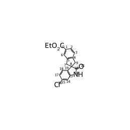 CCOC(=O)c1ccc2c(c1)CC1(C2)C(=O)Nc2cc(Cl)ccc21